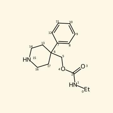 CCNC(=O)OCC1(c2ccccc2)CCNCC1